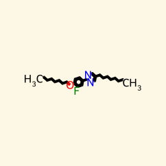 CCCCCCCCOc1ccc(-c2ncc(CCCCCCCC)cn2)cc1F